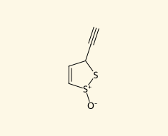 C#CC1C=C[S+]([O-])S1